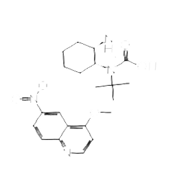 CC(C)(C)N(C(=O)O)[C@H]1CCCC[C@H]1N.COc1ccnc2ccc([N+](=O)[O-])cc12